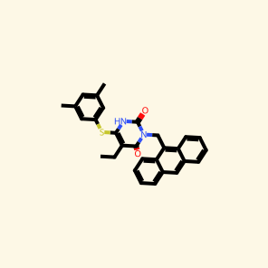 CCc1c(Sc2cc(C)cc(C)c2)[nH]c(=O)n(Cc2c3ccccc3cc3ccccc23)c1=O